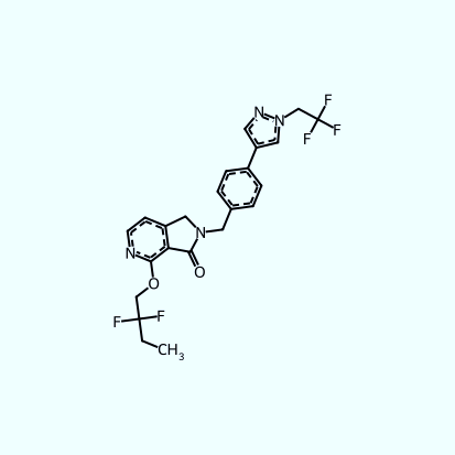 CCC(F)(F)COc1nccc2c1C(=O)N(Cc1ccc(-c3cnn(CC(F)(F)F)c3)cc1)C2